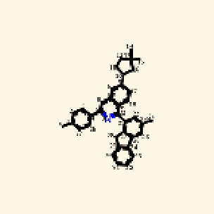 Cc1ccc(-c2cc3cc(C4CCC(C)(C)C4)ccc3c(-c3cc(C)cc4c3Cc3ccccc3-4)n2)cc1